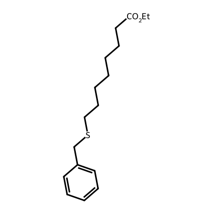 CCOC(=O)CCCCCCCSCc1ccccc1